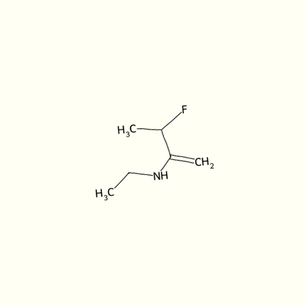 C=C(NCC)C(C)F